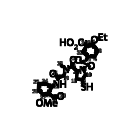 CCOc1ccc(S(=O)(=O)N2CC(S)CC2C(=O)N(C)CC(=O)Nc2ccccc2C(=O)OC)cc1C(=O)O